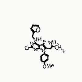 COc1ccc(-n2c(CC(C)N)c(F)c3c(NCc4ccco4)nc(Cl)nc32)cc1